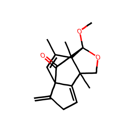 C=C1CC=C2C13C=C(C)C1(C)C2(C)COC1(OC)C3=O